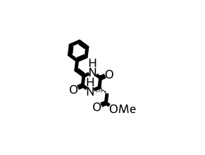 COC(=O)C[C@@H]1NC(=O)C(=Cc2ccccc2)NC1=O